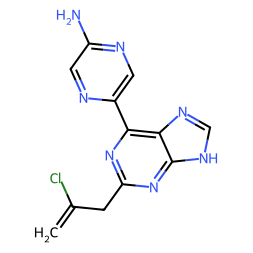 C=C(Cl)Cc1nc(-c2cnc(N)cn2)c2nc[nH]c2n1